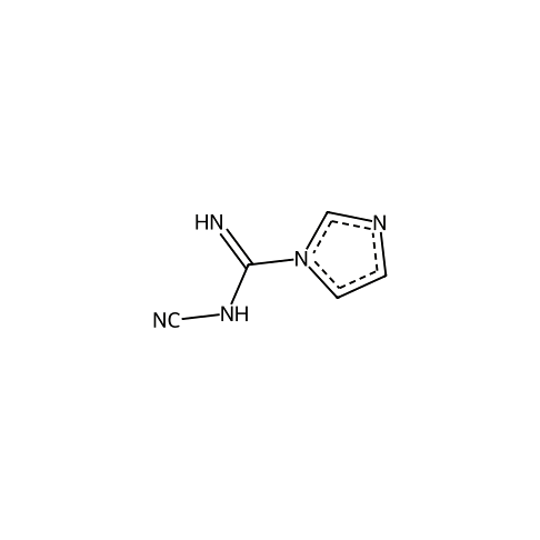 N#CNC(=N)n1ccnc1